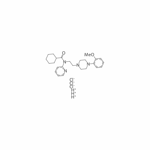 COc1ccccc1N1CCN(CCN(C(=O)C2CCCCC2)c2ccccn2)CC1.[Cl-].[Cl-].[Cl-].[H+].[H+].[H+]